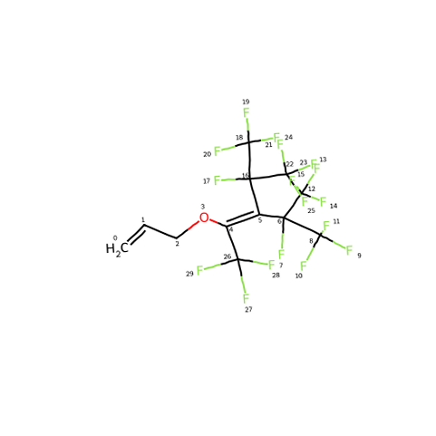 C=CCOC(=C(C(F)(C(F)(F)F)C(F)(F)F)C(F)(C(F)(F)F)C(F)(F)F)C(F)(F)F